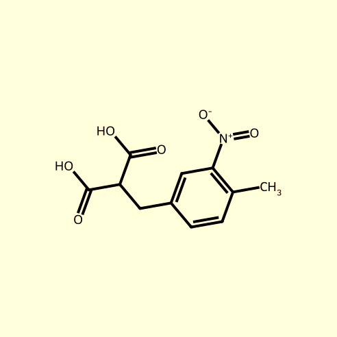 Cc1ccc(CC(C(=O)O)C(=O)O)cc1[N+](=O)[O-]